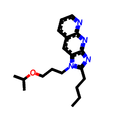 CCCCc1nc2nc3ncccc3cc2n1CCCOC(C)C